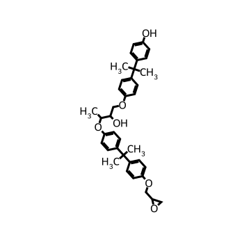 CC(Oc1ccc(C(C)(C)c2ccc(OCC3CO3)cc2)cc1)C(O)COc1ccc(C(C)(C)c2ccc(O)cc2)cc1